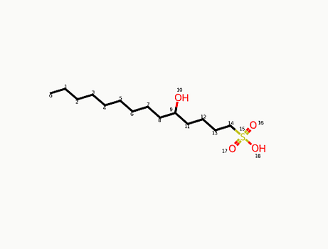 CCCCCCCCCC(O)CCCCS(=O)(=O)O